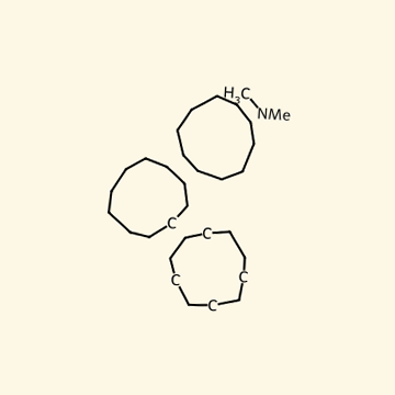 C1CCCCCCCCC1.C1CCCCCCCCC1.C1CCCCCCCCC1.CNC